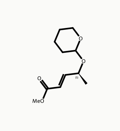 COC(=O)C=C[C@H](C)OC1CCCCO1